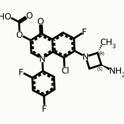 C[C@@H]1[C@@H](N)CN1c1c(F)cc2c(=O)c(OC(=O)O)cn(-c3ccc(F)cc3F)c2c1Cl